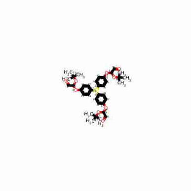 CC(C)(C)OC(C=O)Oc1ccc([S+](c2ccc(OC(C=O)OC(C)(C)C)cc2)c2ccc(OC(C=O)OC(C)(C)C)cc2)cc1